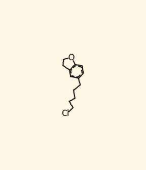 ClCCCCCc1ccc2c(c1)CCO2